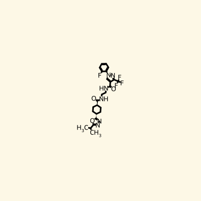 CC(C)c1nnc([C@H]2CC[C@H](C(=O)NCCNC(=O)c3cn(-c4ccccc4F)nc3C(F)(F)F)CC2)o1